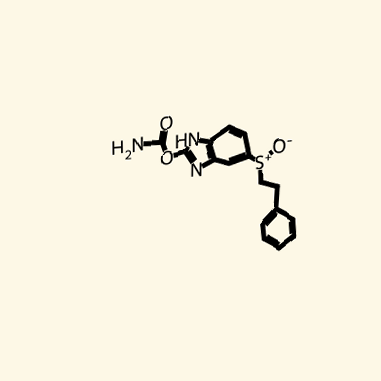 NC(=O)Oc1nc2cc([S+]([O-])CCc3ccccc3)ccc2[nH]1